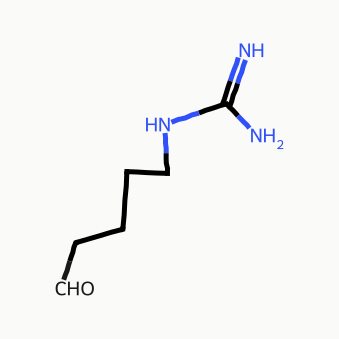 N=C(N)NCCCCC=O